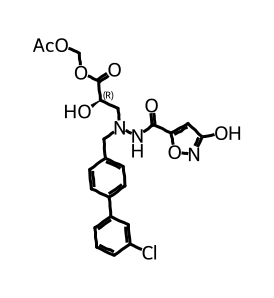 CC(=O)OCOC(=O)[C@H](O)CN(Cc1ccc(-c2cccc(Cl)c2)cc1)NC(=O)c1cc(O)no1